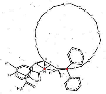 COc1ccc(C(C)C)cc1CN[C@H]1[C@H]2CCCCCCCCCCCCCCCCCCCCCN(C[C@@H]2C(=O)NC(CC(C)C)C(N)=O)[C@H]1C(c1ccccc1)c1ccccc1